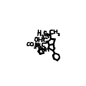 CN(C)C1CC2CC(C3CCCCC3)CC2C1(C)C=O.O=C(O)c1ccc[nH]1